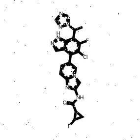 CC(c1c(F)c(Cl)c(-c2ccc3nc(NC(=O)C4CC4F)cn3c2)c2cn[nH]c12)n1ncnn1